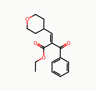 CCOC(=O)C(=CC1CCOCC1)C(=O)c1ccccc1